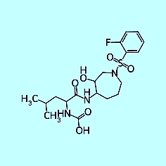 CC(C)CC(NC(=O)O)C(=O)NC1CCCN(S(=O)(=O)c2ccccc2F)CC1O